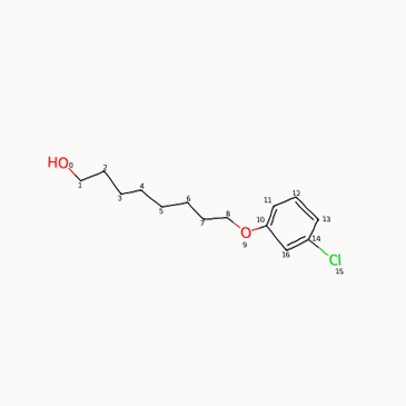 OCCCCCCCCOc1cccc(Cl)c1